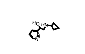 OC(CNC1CCC1)c1cccnn1